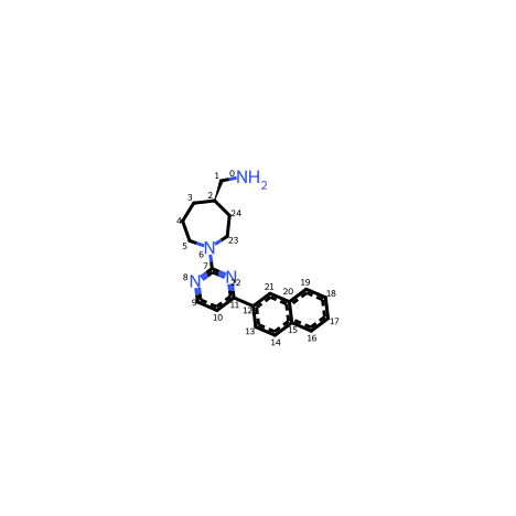 NC[C@@H]1CCCN(c2nccc(-c3ccc4ccccc4c3)n2)CC1